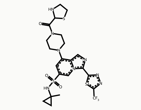 CC1(NS(=O)(=O)c2cc(N3CCN(C(=O)C4NCCS4)CC3)c3cnc(-c4nnc(C(F)(F)F)s4)n3c2)CC1